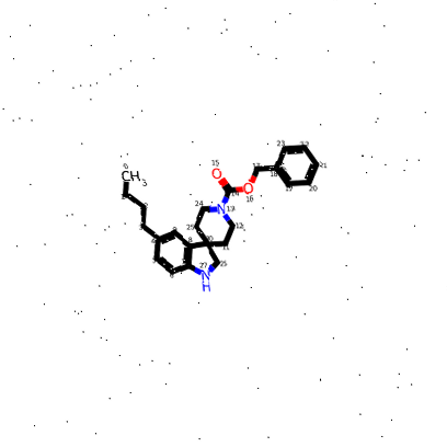 CCCCc1ccc2c(c1)C1(CCN(C(=O)OCc3ccccc3)CC1)CN2